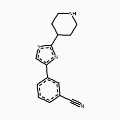 N#Cc1cccc(-c2csc(C3CCNCC3)n2)c1